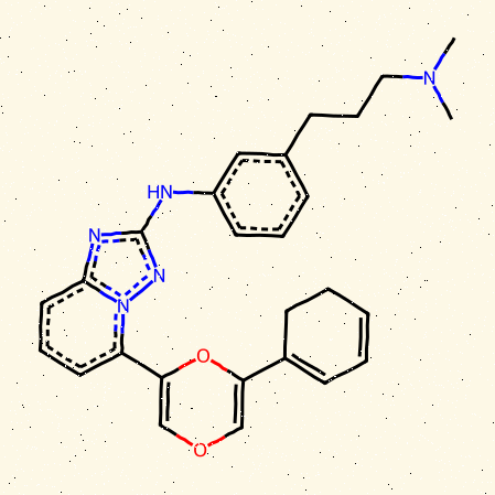 CN(C)CCCc1cccc(Nc2nc3cccc(C4=COC=C(C5=CC=CCC5)O4)n3n2)c1